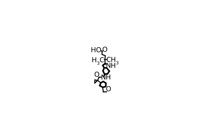 CC(C)(CCC(=O)O)c1cc2cc(NC(=O)C3(c4ccc5c(c4)CCO5)CC3)ccc2[nH]1